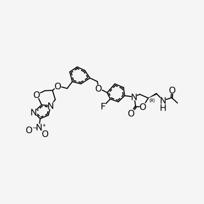 CC(=O)NC[C@@H]1CN(c2ccc(OCc3cccc(COC4COc5nc([N+](=O)[O-])cn5C4)c3)c(F)c2)C(=O)O1